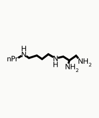 CCCNCCCCNCC(N)CN